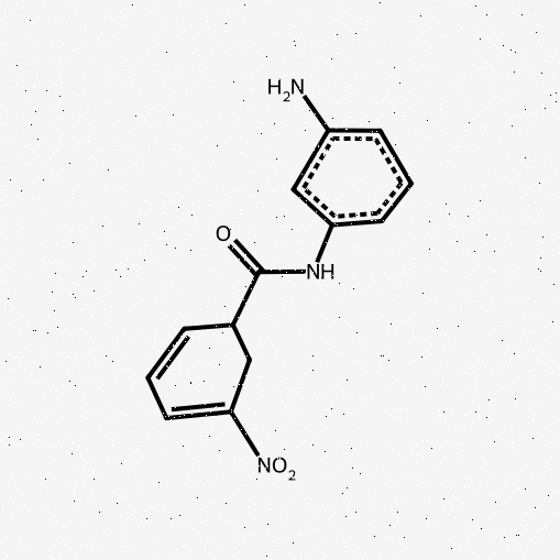 Nc1cccc(NC(=O)C2C=CC=C([N+](=O)[O-])C2)c1